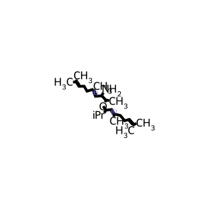 CC(C)=CCC/C(C)=C/C(N)C(C)OC(/C=C(\C)CCC=C(C)C)C(C)C